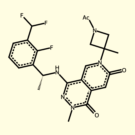 CC(=O)N1CC(C)(n2cc3c(N[C@H](C)c4cccc(C(F)F)c4F)nn(C)c(=O)c3cc2=O)C1